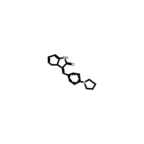 O=C1NC2=CC=CCC2C1=Cc1ccc(N2CCCC2)cc1